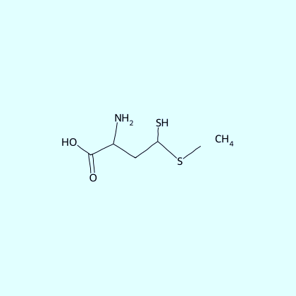 C.CSC(S)CC(N)C(=O)O